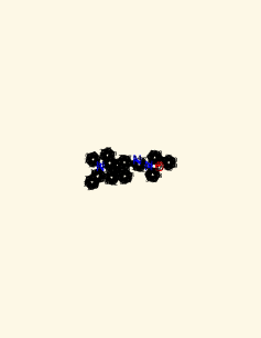 c1ccc(N(c2ccc3ccccc3c2)c2cc3c(c4ccccc24)-c2ccc(-c4ccc(N(c5ccccc5)c5cccc6c5oc5ccccc56)cn4)cc2C3(c2ccccc2)c2ccccc2)cc1